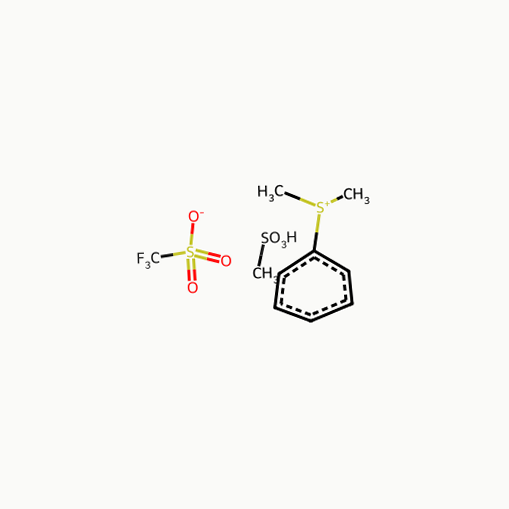 CS(=O)(=O)O.C[S+](C)c1ccccc1.O=S(=O)([O-])C(F)(F)F